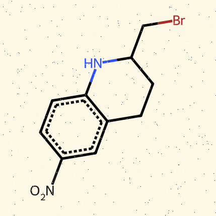 O=[N+]([O-])c1ccc2c(c1)CCC(CBr)N2